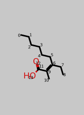 CCCCCCC(CC)=C(C)C(=O)O